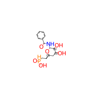 O=C(NC1O[C@H](CC[PH](=O)O)C[C@H](O)[C@@H]1O)c1ccccc1